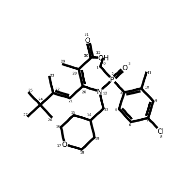 CCP(=O)(c1ccc(Cl)cc1C)N(CC1CCOCC1)C(/C=C(\C)C(C)(C)C)=C(/C)C(=O)O